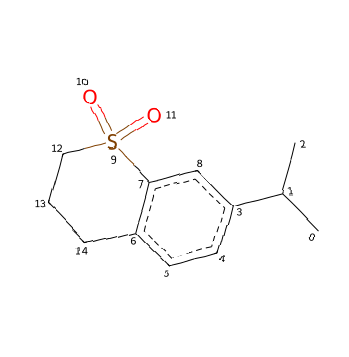 CC(C)c1ccc2c(c1)S(=O)(=O)CCC2